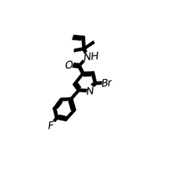 C=CC(C)(C)NC(=O)c1cc(Br)nc(-c2ccc(F)cc2)c1